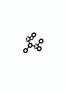 c1ccc(-c2cc(-c3nc(-c4ccccc4)c4ccccc4n3)cc(-c3ncnc4c3Cc3ccccc3-4)c2)cc1